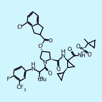 CC(C)(C)C(Nc1ccc(F)c(C(F)(F)F)c1)C(=O)N1C[C@H](OC(=O)C2Cc3cccc(Cl)c3C2)C[C@H]1C(=O)NC1(C(=O)NS(=O)(=O)C2(C)CC2)C[C@H]1C1CC1